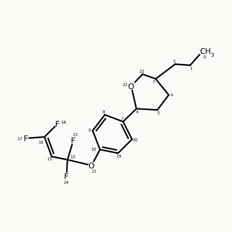 CCCC1CCC(c2ccc(OC(F)(F)C=C(F)F)cc2)OC1